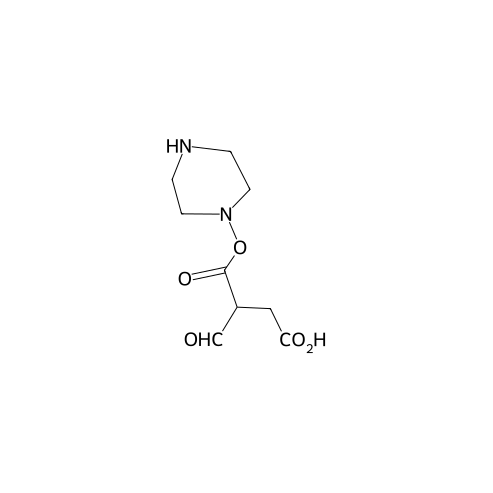 O=CC(CC(=O)O)C(=O)ON1CCNCC1